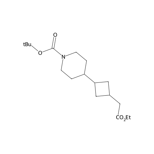 CCOC(=O)CC1CC(C2CCN(C(=O)OC(C)(C)C)CC2)C1